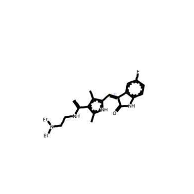 C=C(NCCN(CC)CC)c1c(C)[nH]c(/C=C2\C(=O)Nc3ccc(F)cc32)c1C